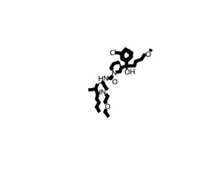 CCCCCC(C)C[C@@H](CNCCOCC)NC(=O)N1CCC[C@@H]([C@@](O)(CCCCOC)c2cccc(Cl)c2)C1